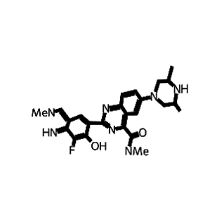 CN/C=C1/C=C(c2nc(C(=O)NC)c3cc(N4CC(C)NC(C)C4)ccc3n2)C(O)=C(F)C1=N